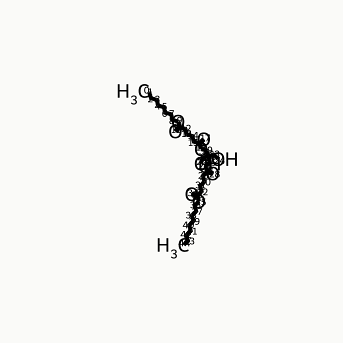 CCCCCCCCCOC(=O)CCCCC(=O)OCC(CO)(CO)COC(=O)CCCCC(=O)OCCCCCCCCC